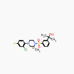 C[C@@H]1CN(c2ccc(F)cc2Cl)CCN1S(=O)(=O)c1cccc(C(C)(C)O)c1